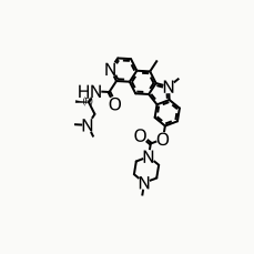 Cc1c2ccnc(C(=O)N[C@H](C)CN(C)C)c2cc2c3cc(OC(=O)N4CCN(C)CC4)ccc3n(C)c12